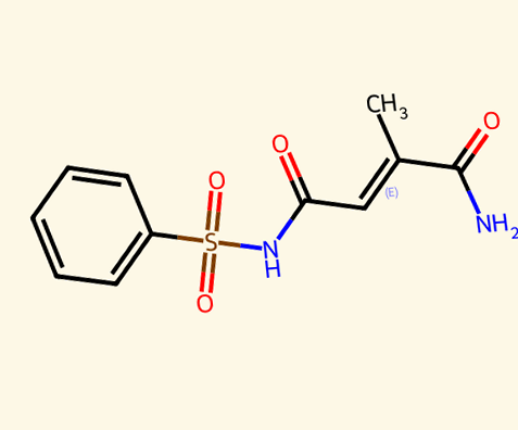 C/C(=C\C(=O)NS(=O)(=O)c1ccccc1)C(N)=O